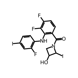 O=C(c1ccc(F)c(F)c1Nc1ccc(I)cc1F)N1CC(O)C1I